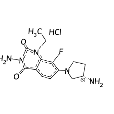 CCn1c(=O)n(N)c(=O)c2ccc(N3CC[C@H](N)C3)c(F)c21.Cl